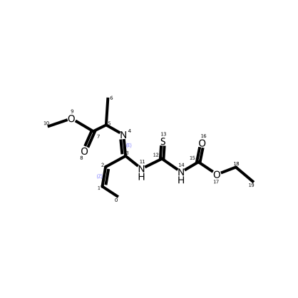 C/C=C\C(=N/C(C)C(=O)OC)NC(=S)NC(=O)OCC